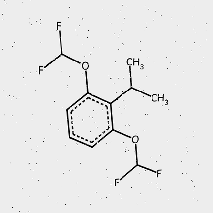 CC(C)c1c(OC(F)F)cccc1OC(F)F